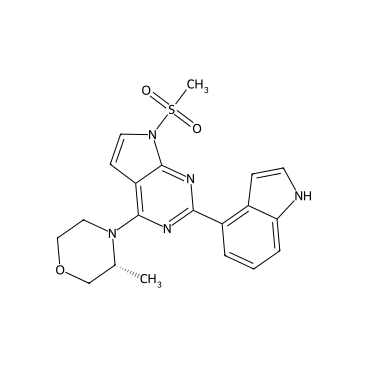 C[C@@H]1COCCN1c1nc(-c2cccc3[nH]ccc23)nc2c1ccn2S(C)(=O)=O